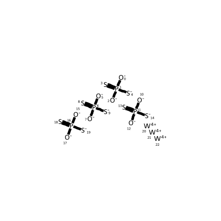 [O-]P([O-])(=S)[S-].[O-]P([O-])(=S)[S-].[O-]P([O-])(=S)[S-].[O-]P([O-])(=S)[S-].[W+4].[W+4].[W+4]